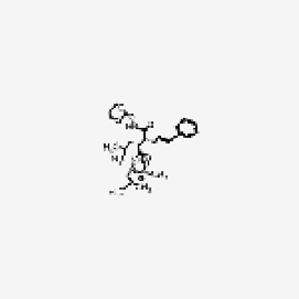 CC(C)C[C@@H](C(=O)NN(CC(C)C)S(C)(=O)=O)[C@H](CC=Cc1ccccc1)C(=O)NOC1CCCCO1